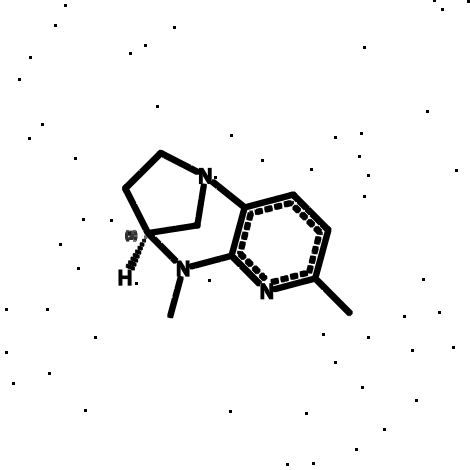 Cc1ccc2c(n1)N(C)[C@H]1CCN2C1